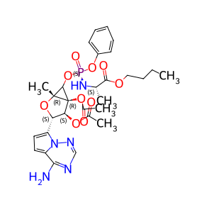 CCCCOC(=O)[C@H](C)N[P@@](=O)(Oc1ccccc1)OC1[C@@]2(C)O[C@@H](c3ccc4c(N)ncnn34)[C@H](OC(C)=O)[C@@]12OC(C)=O